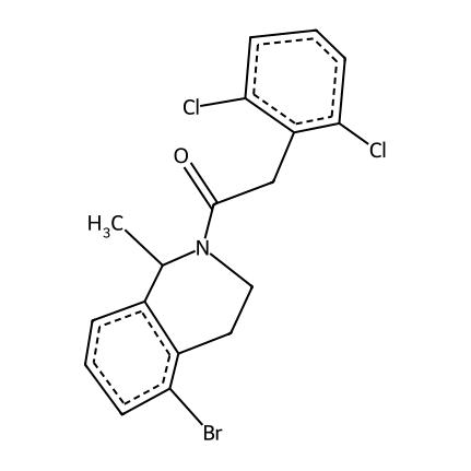 CC1c2cccc(Br)c2CCN1C(=O)Cc1c(Cl)cccc1Cl